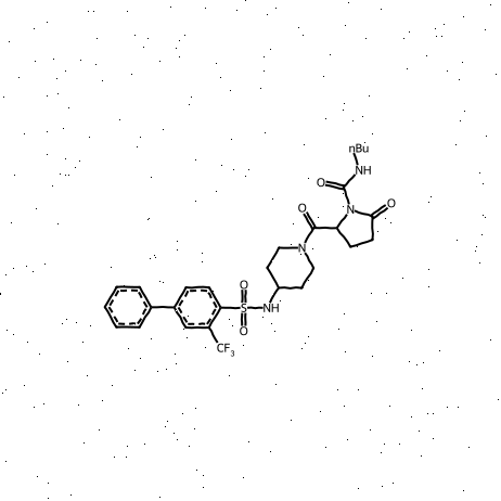 CCCCNC(=O)N1C(=O)CCC1C(=O)N1CCC(NS(=O)(=O)c2ccc(-c3ccccc3)cc2C(F)(F)F)CC1